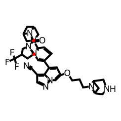 N#Cc1cnn2cc(OCCCN3C4CNCC3C4)cc(-c3ccc(N4CC5CC(C4)N5C(=O)N4CCC(C(F)(F)F)C4)nc3)c12